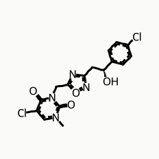 Cn1cc(Cl)c(=O)n(Cc2nc(C[C@H](O)c3ccc(Cl)cc3)no2)c1=O